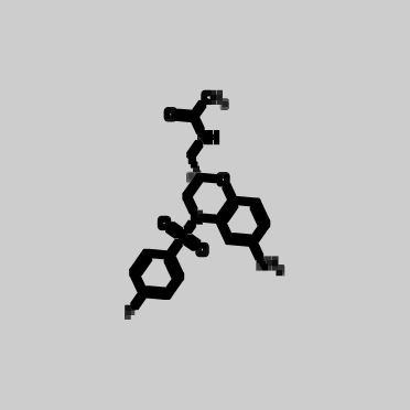 CC(=O)NC[C@H]1CN(S(=O)(=O)c2ccc(F)cc2)c2cc(N)ccc2O1